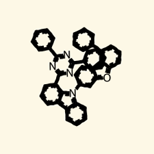 c1ccc(-c2nc(-c3ccccc3)nc(-c3cccc4c5ccccc5n(-c5ccc6c(c5)oc5cccc(-c7ccccc7)c56)c34)n2)cc1